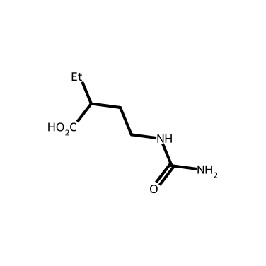 CCC(CCNC(N)=O)C(=O)O